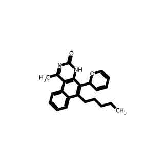 CCCCCc1c(C2C=CC=CO2)c2[nH]c(=O)nc(C)c2c2ccccc12